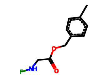 Cc1ccc(COC(=O)CNF)cc1